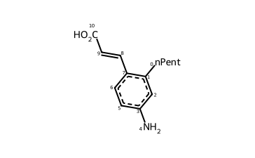 CCCCCc1cc(N)ccc1/C=C/C(=O)O